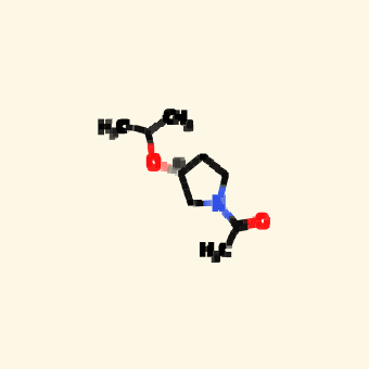 CC(=O)N1CC[C@@H](OC(C)C)C1